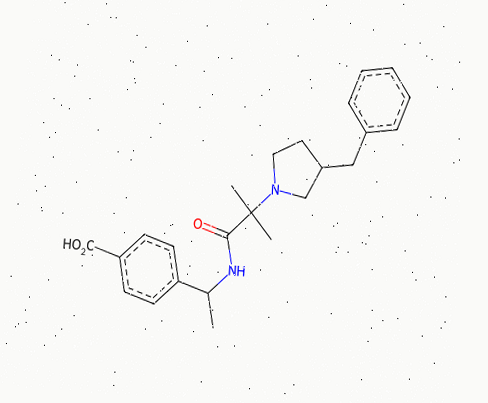 CC(NC(=O)C(C)(C)N1CCC(Cc2ccccc2)C1)c1ccc(C(=O)O)cc1